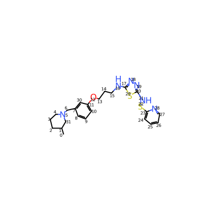 CC1CCCN(Cc2cccc(OCCCNc3nnc(NSc4ccccn4)s3)c2)C1